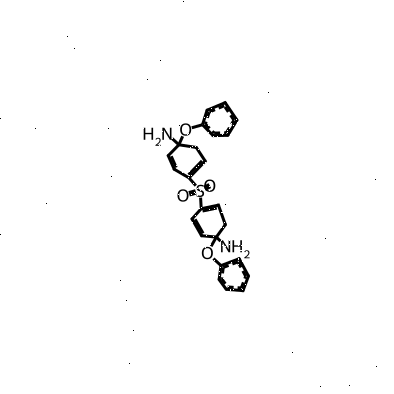 NC1(Oc2ccccc2)C=CC(S(=O)(=O)C2=CCC(N)(Oc3ccccc3)C=C2)=CC1